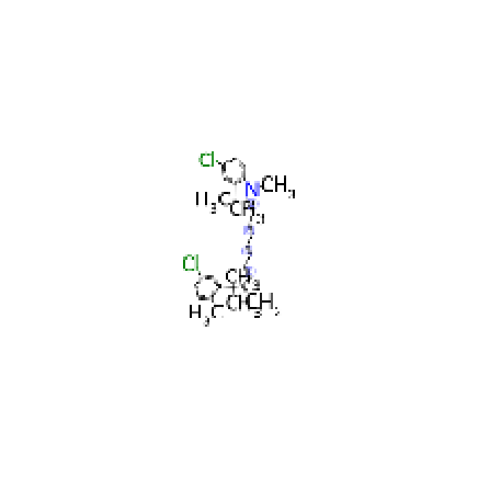 C=C(/C=C/C=C/C=C/C=C1/N(C)c2ccc(Cl)cc2C1(C)C)C(C)(C)c1cc(Cl)ccc1C